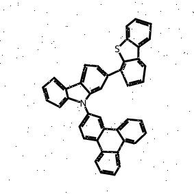 c1ccc2c(c1)sc1c(-c3ccc4c5ccccc5n(-c5ccc6c7ccccc7c7ccccc7c6c5)c4c3)cccc12